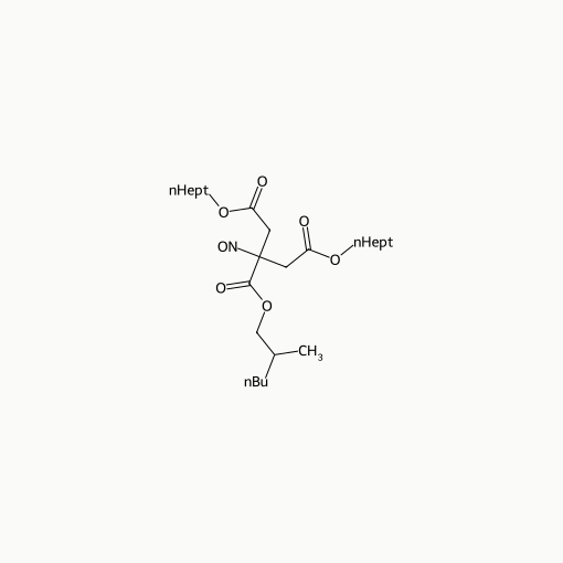 CCCCCCCOC(=O)CC(CC(=O)OCCCCCCC)(N=O)C(=O)OCC(C)CCCC